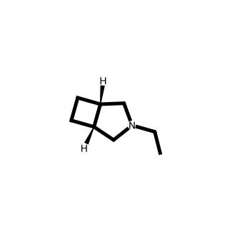 CCN1C[C@H]2CC[C@H]2C1